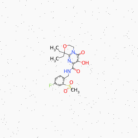 CCC1(CC)OCCn2c1nc(C(=O)NCc1ccc(F)cc1S(C)(=O)=O)c(O)c2=O